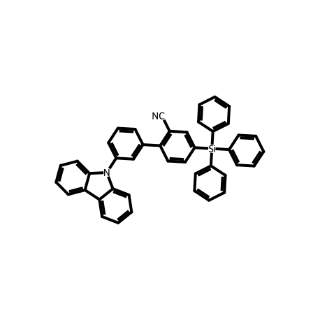 N#Cc1cc([Si](c2ccccc2)(c2ccccc2)c2ccccc2)ccc1-c1cccc(-n2c3ccccc3c3ccccc32)c1